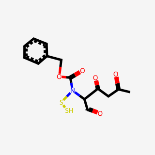 CC(=O)CC(=O)C([C]=O)N(SS)C(=O)OCc1ccccc1